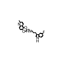 Cc1ccc2c3c(ccc2n1)OC[C@H](CNCCCc1c[nH]c2ccc(F)cc12)O3